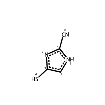 N#Cc1nc(S)c[nH]1